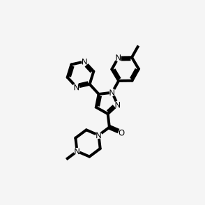 Cc1ccc(-n2nc(C(=O)N3CCN(C)CC3)cc2-c2cnccn2)cn1